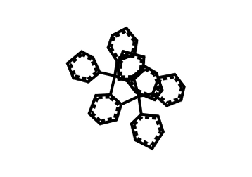 c1ccc(C(c2ccccc2)(c2ccccc2)c2ccccc2C(c2ccccc2)(c2ccccc2)c2ccccc2)cc1